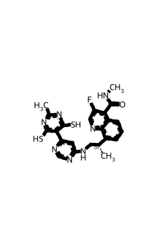 CNC(=O)c1c(F)cnc2c([C@H](C)CNc3cc(-c4c(S)nc(C)nc4S)ncn3)cccc12